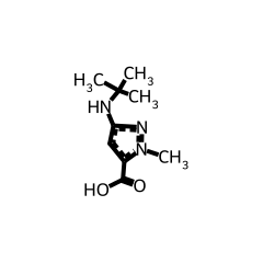 Cn1nc(NC(C)(C)C)cc1C(=O)O